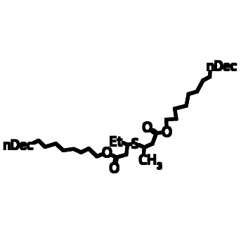 CCCCCCCCCCCCCCCCCCOC(=O)CC(C)SC(CC)CC(=O)OCCCCCCCCCCCCCCCCCC